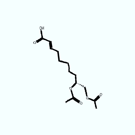 CC(=O)OC[C@@H](CCCCC/C=C/C(=O)O)OC(C)=O